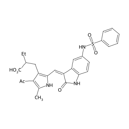 CCC(Cc1c(C=C2C(=O)Nc3ccc(NS(=O)(=O)c4ccccc4)cc32)[nH]c(C)c1C(C)=O)C(=O)O